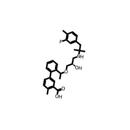 Cc1ccc(CC(C)(C)NC[C@@H](O)COC(C)c2ccccc2-c2ccc(C)c(C(=O)O)c2)cc1F